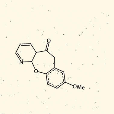 COc1ccc2c(c1)CC(=O)C1C=CC=NC1O2